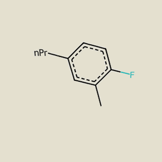 C[CH]Cc1ccc(F)c(C)c1